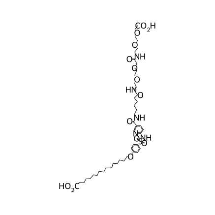 O=C(O)CCCCCCCCCCCCCCCOc1ccc(S(=O)(=O)Nc2ccc(C(=O)NCCCCCC(=O)NCCOCCOCC(=O)NCCOCCOCC(=O)O)cn2)cc1